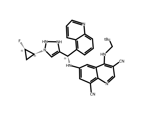 CC(C)(C)CNc1c(C#N)cnc2c(C#N)cc(N[C@H](C3=CN([C@@H]4C[C@@H]4F)NN3)c3cccc4ncccc34)cc12